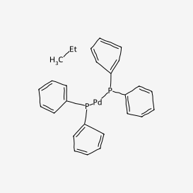 CCC.c1ccc([P]([Pd][P](c2ccccc2)c2ccccc2)c2ccccc2)cc1